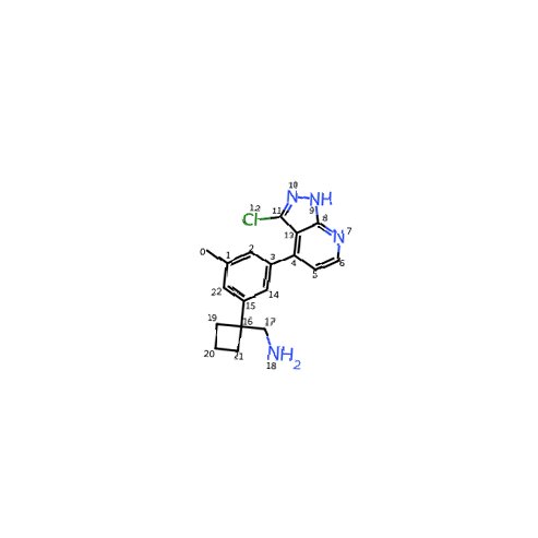 Cc1cc(-c2ccnc3[nH]nc(Cl)c23)cc(C2(CN)CCC2)c1